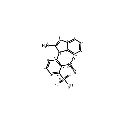 Nc1nc2ccccc2n1-c1cccc(S(=O)(=O)O)c1[N+](=O)[O-]